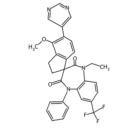 CCN1C(=O)C2(CCc3c2ccc(-c2cncnc2)c3OC)C(=O)N(c2ccccc2)c2cc(C(F)(F)F)ccc21